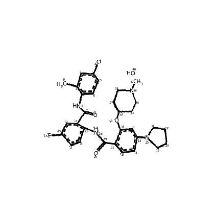 Cc1cc(Cl)ccc1NC(=O)c1cc(F)ccc1NC(=O)c1ccc(N2CCCC2)cc1OC1CCN(C)CC1.Cl